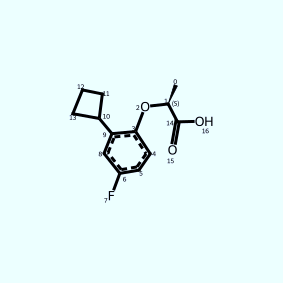 C[C@H](Oc1ccc(F)cc1C1CCC1)C(=O)O